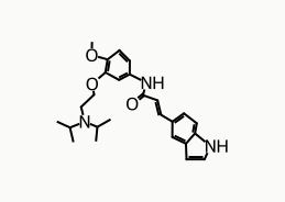 COc1ccc(NC(=O)/C=C/c2ccc3[nH]ccc3c2)cc1OCCN(C(C)C)C(C)C